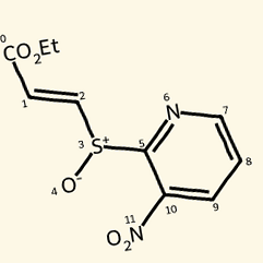 CCOC(=O)/C=C/[S+]([O-])c1ncccc1[N+](=O)[O-]